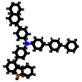 c1ccc(-c2ccc(-c3ccc(N(c4ccc(-c5ccc6ccccc6c5)cc4)c4ccc(-c5cccc6sc7ccccc7c56)cc4)cc3)cc2)cc1